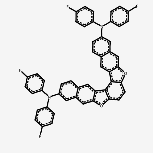 Fc1ccc(N(c2ccc(F)cc2)c2ccc3cc4c(cc3c2)oc2ccc3oc5cc6cc(N(c7ccc(F)cc7)c7ccc(F)cc7)ccc6cc5c3c24)cc1